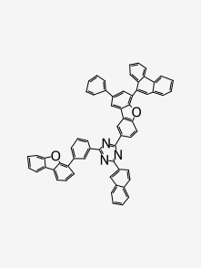 c1ccc(-c2cc(-c3cc4ccccc4c4ccccc34)c3oc4ccc(-c5nc(-c6cccc(-c7cccc8c7oc7ccccc78)c6)nc(-c6ccc7ccccc7c6)n5)cc4c3c2)cc1